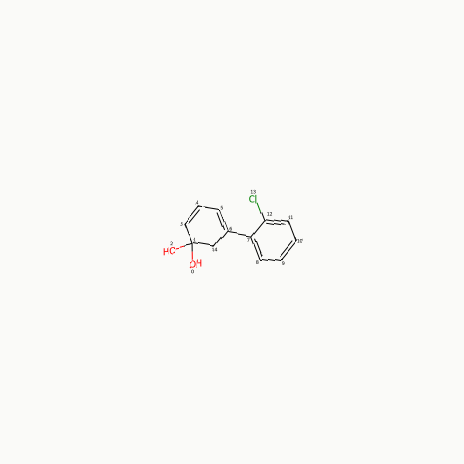 OC1(O)C=CC=C(c2ccccc2Cl)C1